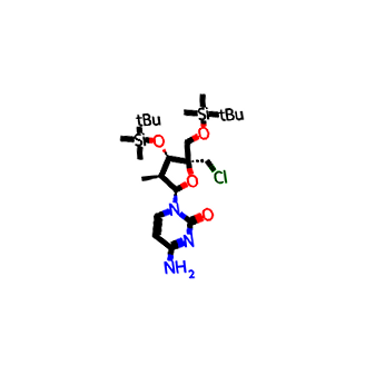 C[C@@H]1[C@H](n2ccc(N)nc2=O)O[C@](CCl)(CO[Si](C)(C)C(C)(C)C)[C@H]1O[Si](C)(C)C(C)(C)C